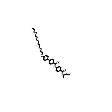 C=CCOCCCCCCCCCCOc1ccc(-c2ccc(C(=O)Oc3ccc(C(=O)OC(C)CCC)cc3)cc2)cc1